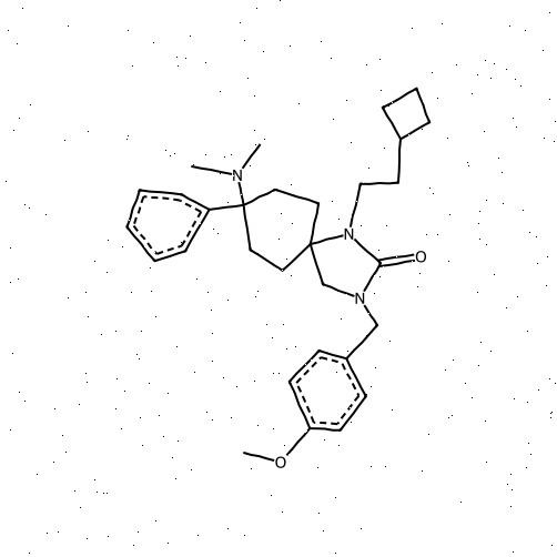 COc1ccc(CN2CC3(CCC(c4ccccc4)(N(C)C)CC3)N(CCC3CCC3)C2=O)cc1